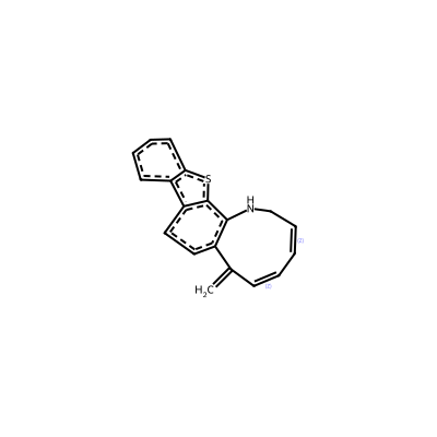 C=C1/C=C\C=C/CNc2c1ccc1c2sc2ccccc21